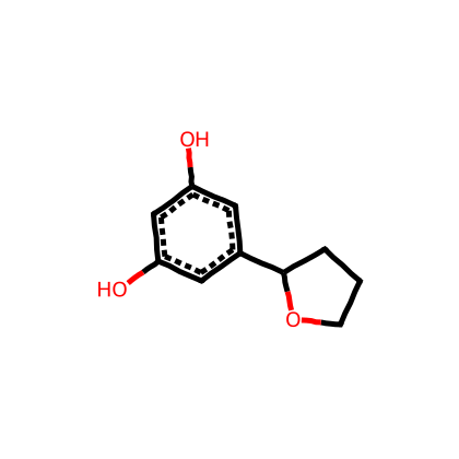 Oc1cc(O)cc(C2CCCO2)c1